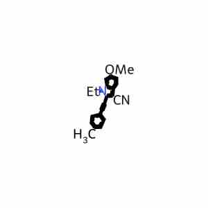 CCn1c(C#Cc2ccc(C)cc2)c(C#N)c2ccc(OC)cc21